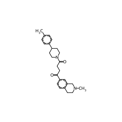 Cc1ccc(C2CCN(C(=O)CCC(=O)c3ccc4c(c3)CN(C)CC4)CC2)cc1